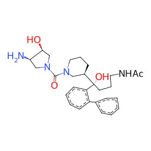 CC(=O)NCCC[C@@](O)(c1ccccc1-c1ccccc1)[C@@H]1CCCN(C(=O)N2C[C@@H](N)[C@@H](O)C2)C1